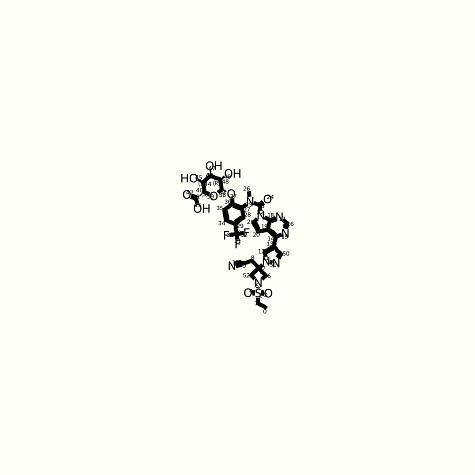 CCS(=O)(=O)N1CC(CC#N)(n2cc(-c3ncnc4c3ccn4C(=O)N(C)c3cc(C(F)(F)F)ccc3O[C@@H]3O[C@H](C(=O)O)[C@@H](O)[C@H](O)[C@H]3O)cn2)C1